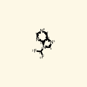 FC(F)n1cnc2cncnc21